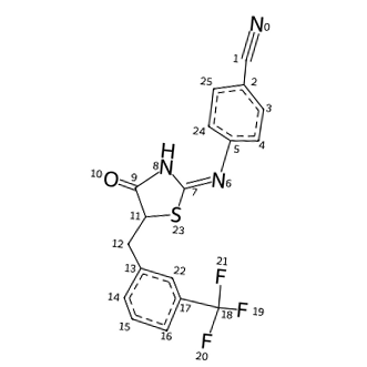 N#Cc1ccc(/N=C2\NC(=O)C(Cc3cccc(C(F)(F)F)c3)S2)cc1